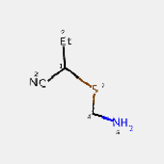 CCC(C#N)SCN